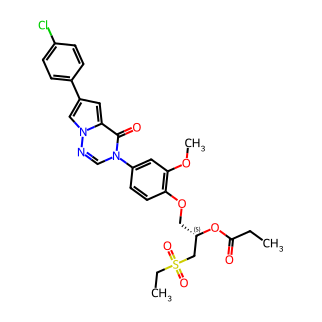 CCC(=O)O[C@@H](COc1ccc(-n2cnn3cc(-c4ccc(Cl)cc4)cc3c2=O)cc1OC)CS(=O)(=O)CC